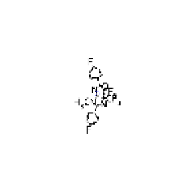 CN1C(c2ccc(F)cc2)=NC(C(F)(F)F)(C(F)(F)F)/C1=N\C(=O)c1ccc(F)cc1